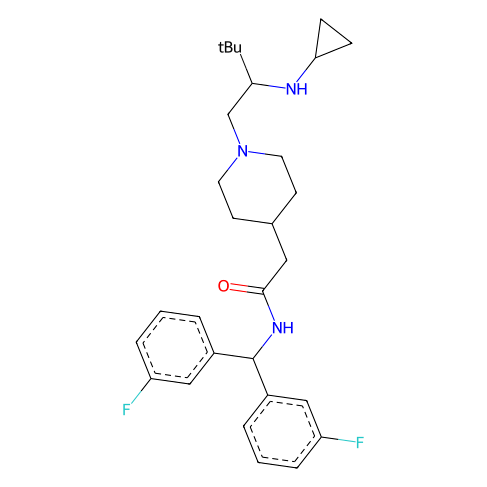 CC(C)(C)C(CN1CCC(CC(=O)NC(c2cccc(F)c2)c2cccc(F)c2)CC1)NC1CC1